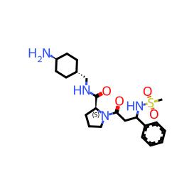 CS(=O)(=O)NC(CC(=O)N1CCC[C@H]1C(=O)NC[C@H]1CC[C@H](N)CC1)c1ccccc1